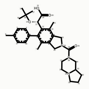 Cc1ccc(-c2c(C)c3c(c(C)c2[C@H](OC(C)(C)C)C(=O)O)CN(C(=O)N2CCN4CCCC4C2)C3)cc1